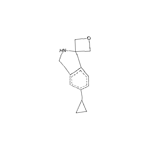 c1cc2c(cc1C1CC1)CNC21COC1